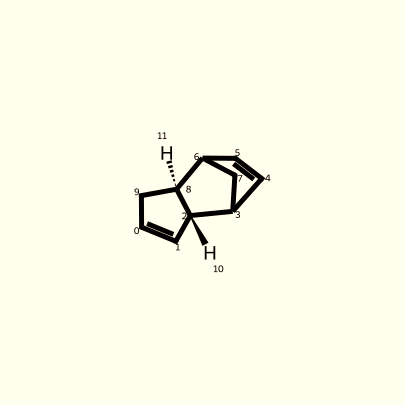 C1=C[C@H]2C3C=CC(C3)[C@@H]2C1